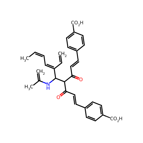 C=C/C(=C\C=C/C)C(NC(=C)C)C(C(=O)/C=C/c1ccc(C(=O)O)cc1)C(=O)/C=C/c1ccc(C(=O)O)cc1